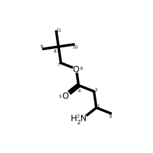 CC(N)CC(=O)OCC(C)(C)C